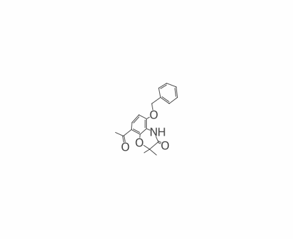 CC(=O)c1ccc(OCc2ccccc2)c2c1OC(C)(C)C(=O)N2